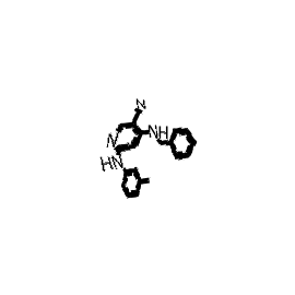 Cc1cccc(Nc2cc(NCc3ccccc3)c(C#N)cn2)c1